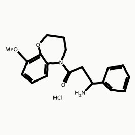 COc1cccc2c1OCCCN2C(=O)CC(N)c1ccccc1.Cl